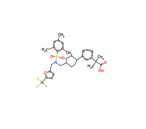 Cc1cc(C)c(S(=O)(=O)N(Cc2ccc(C(F)(F)F)o2)CC2CCC(c3cccc(C(C)(C)C(=O)O)c3)CC2)c(C)c1